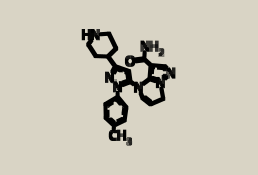 Cc1ccc(-n2nc(C3CCNCC3)cc2N2C=CCn3ncc(C(N)=O)c32)cc1